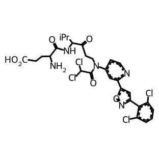 CC(C)C(NC(=O)C(N)CCC(=O)O)C(=O)CCN(C(=O)C(Cl)Cl)c1ccnc(-c2cc(-c3c(Cl)cccc3Cl)no2)c1